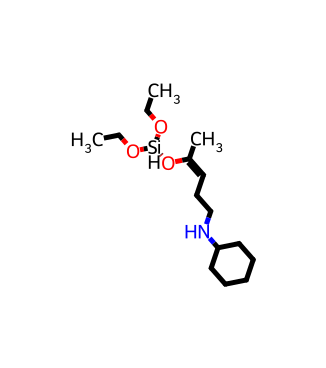 CCO[SiH](OCC)OC(C)=CCCNC1CCCCC1